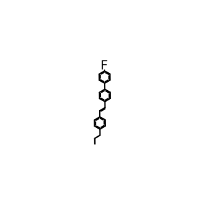 CCCc1ccc(C=Cc2ccc(-c3ccc(F)cc3)cc2)cc1